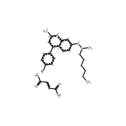 CCCCCCN(C)Oc1ccc2c(-c3ccc(Br)cc3)cc(C)nc2c1.O=C(O)/C=C/C(=O)O